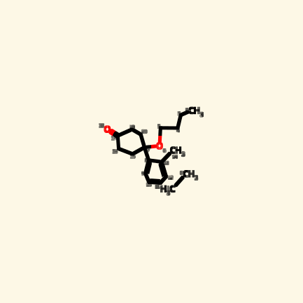 CC.CCCCOC1(c2ccccc2C)CCC(=O)CC1